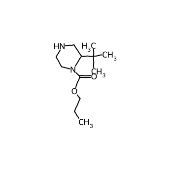 CCCOC(=O)N1CCNCC1C(C)(C)C